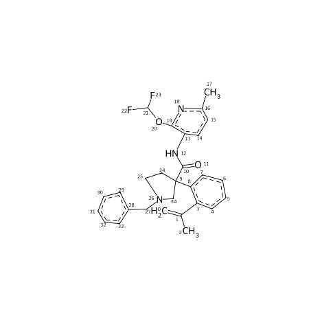 C=C(C)c1ccccc1C1(C(=O)Nc2ccc(C)nc2OC(F)F)CCN(Cc2ccccc2)C1